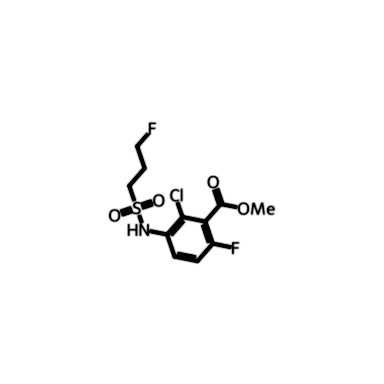 COC(=O)c1c(F)ccc(NS(=O)(=O)CCCF)c1Cl